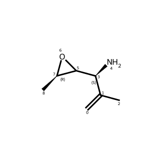 C=C(C)[C@H](N)C1O[C@@H]1C